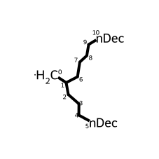 [CH2]C(CCCCCCCCCCCCC)CCCCCCCCCCCCCC